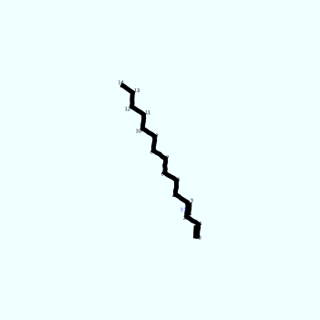 C=C/[C]=C/CCCCCCCCCCC